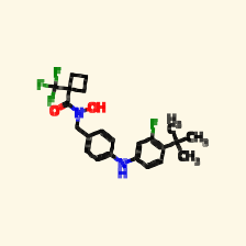 CC(C)(C)c1ccc(Nc2ccc(CN(O)C(=O)C3(C(F)(F)F)CCC3)cc2)cc1F